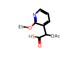 CCOc1ncccc1C(OC(C)=O)C(=O)S